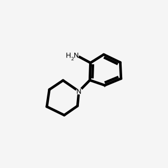 Nc1ccc[c]c1N1CCCCC1